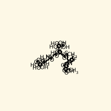 CC[C@@]1(O)C(=O)OCc2c1cc1n(c2=O)Cc2c-1nc1cc(F)c(F)cc1c2CCN(C(=O)OCc1ccc(O[C@@H]2O[C@H](C(=O)O)[C@@H](O)[C@H](O)[C@H]2O)c(NC(=O)CCNC(=O)[C@@H](N)CCCC(=O)N[C@@H]2O[C@H](C(=O)O)[C@@H](O)[C@H](O)[C@H]2O)c1)C(C)C